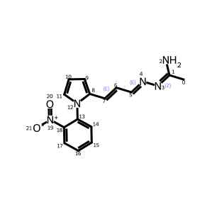 C/C(N)=N/N=C/C=C/c1cccn1-c1ccccc1[N+](=O)[O-]